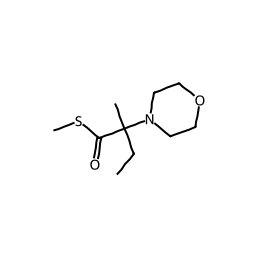 CCC(C)(C(=O)SC)N1CCOCC1